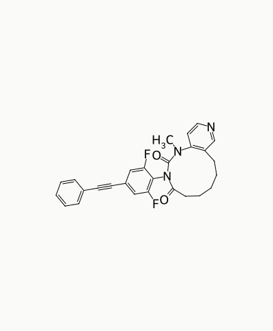 CN1C(=O)N(c2c(F)cc(C#Cc3ccccc3)cc2F)C(=O)CCCCCc2cnccc21